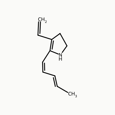 C=CC1=C(/C=C\C=C\C)NCC1